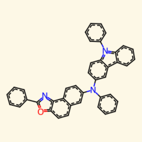 c1ccc(-c2nc3c(ccc4cc(N(c5ccccc5)c5ccc6c(c5)c5ccccc5n6-c5ccccc5)ccc43)o2)cc1